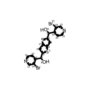 OC(c1cc2sc(C(O)c3ccncc3Br)cc2s1)c1ccncc1Br